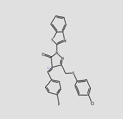 O=C1/C(=C/c2ccc(F)cc2)C(CSc2ccc(Cl)cc2)=NN1c1nc2ccccc2s1